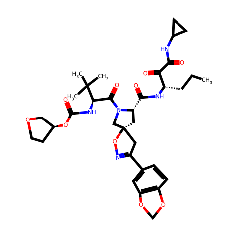 CCC[C@H](NC(=O)[C@@H]1C[C@@]2(CC(c3ccc4c(c3)OCO4)=NO2)CN1C(=O)[C@@H](NC(=O)O[C@H]1CCOC1)C(C)(C)C)C(=O)C(=O)NC1CC1